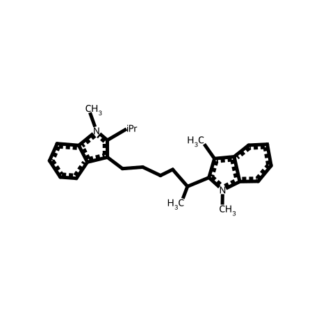 Cc1c(C(C)CCCCc2c(C(C)C)n(C)c3ccccc23)n(C)c2ccccc12